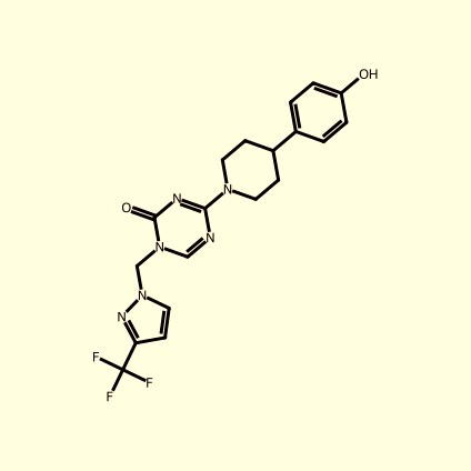 O=c1nc(N2CCC(c3ccc(O)cc3)CC2)ncn1Cn1ccc(C(F)(F)F)n1